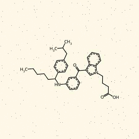 CCCCCC(Nc1cccc(C(=O)c2cn(CCCC(=O)O)c3ccccc23)c1)c1ccc(CC(C)C)cc1